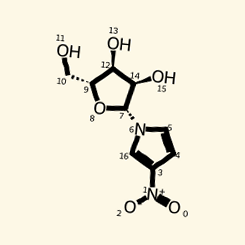 O=[N+]([O-])c1ccn([C@@H]2O[C@H](CO)[C@@H](O)[C@H]2O)c1